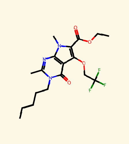 CCCCCn1c(C)nc2c(c(OCC(F)(F)F)c(C(=O)OCC)n2C)c1=O